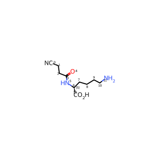 N#CCCC(=O)N[C@@H](CCCCN)C(=O)O